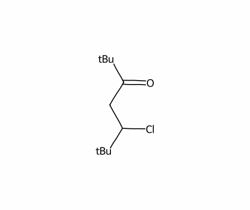 CC(C)(C)C(=O)CC(Cl)C(C)(C)C